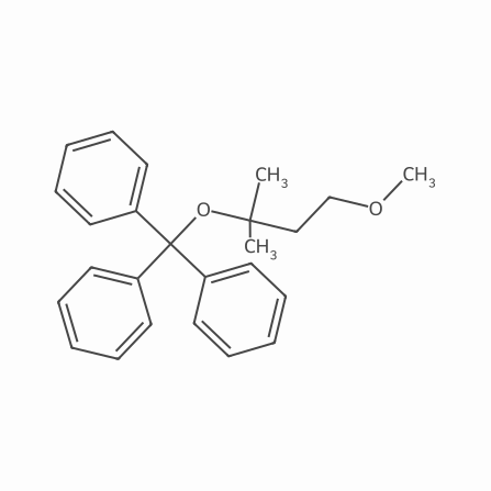 COCCC(C)(C)OC(c1ccccc1)(c1ccccc1)c1ccccc1